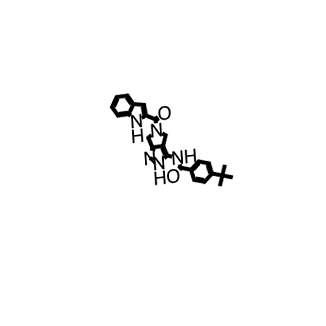 CC(C)(C)c1ccc(C(=O)Nc2[nH]nc3c2CN(C(=O)c2cc4ccccc4[nH]2)C3)cc1